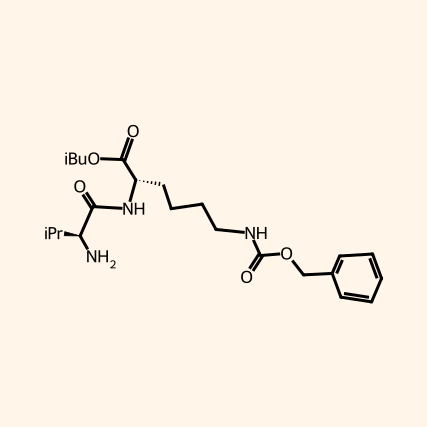 CC(C)COC(=O)[C@H](CCCCNC(=O)OCc1ccccc1)NC(=O)[C@@H](N)C(C)C